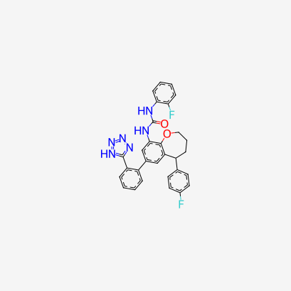 O=C(Nc1ccccc1F)Nc1cc(-c2ccccc2-c2nnn[nH]2)cc2c1OCCCC2c1ccc(F)cc1